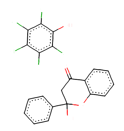 O=C1CC(O)(c2ccccc2)Oc2ccccc21.Oc1c(Cl)c(Cl)c(Cl)c(Cl)c1Cl